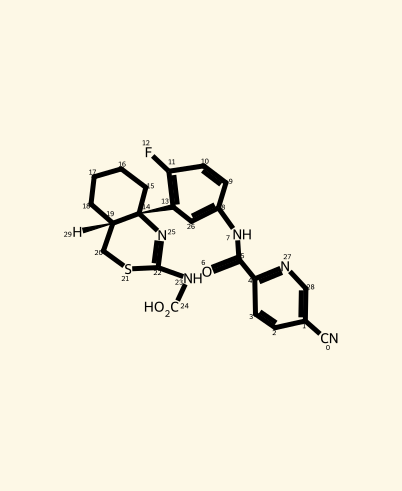 N#Cc1ccc(C(=O)Nc2ccc(F)c([C@]34CCCC[C@H]3CSC(NC(=O)O)=N4)c2)nc1